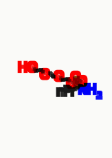 CCCC(N)S(=O)(=O)OCCOCCOCCO